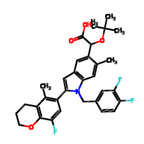 Cc1cc2c(cc1C(OC(C)(C)C)C(=O)O)cc(-c1cc(F)c3c(c1C)CCCO3)n2Cc1ccc(F)c(F)c1